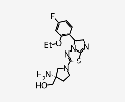 CCOc1cc(F)ccc1-c1cnc2sc(N3CC[C@@](N)(CO)C3)nn12